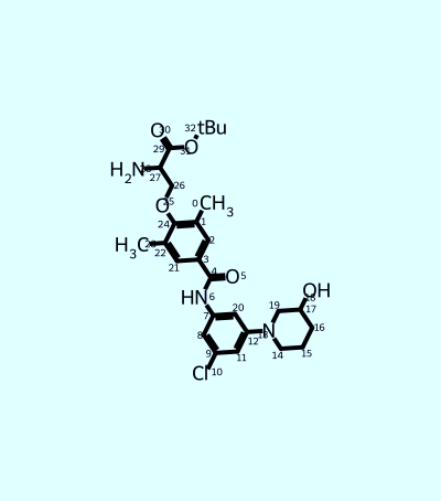 Cc1cc(C(=O)Nc2cc(Cl)cc(N3CCCC(O)C3)c2)cc(C)c1OCC(N)C(=O)OC(C)(C)C